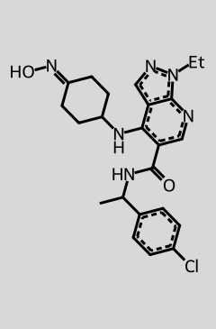 CCn1ncc2c(NC3CCC(=NO)CC3)c(C(=O)NC(C)c3ccc(Cl)cc3)cnc21